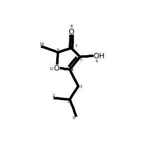 CC(C)CC1=C(O)C(=O)C(C)O1